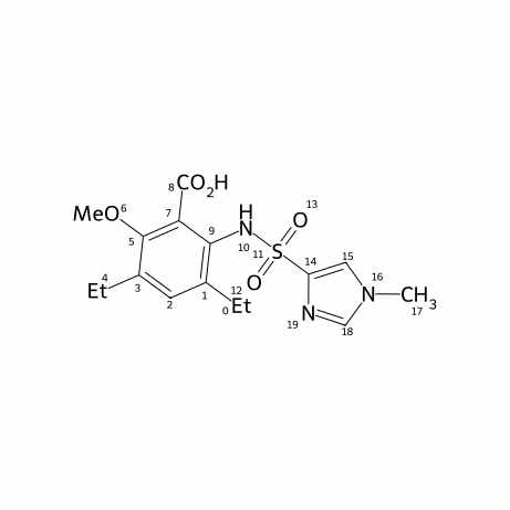 CCc1cc(CC)c(OC)c(C(=O)O)c1NS(=O)(=O)c1cn(C)cn1